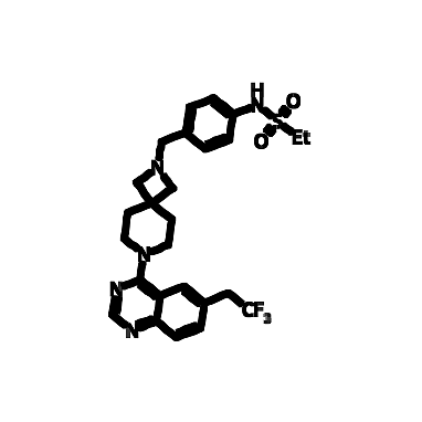 CCS(=O)(=O)Nc1ccc(CN2CC3(CCN(c4ncnc5ccc(CC(F)(F)F)cc45)CC3)C2)cc1